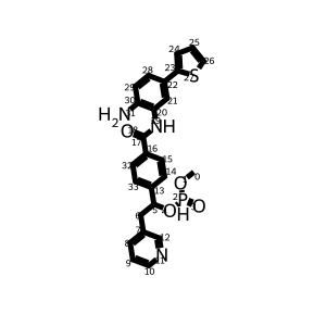 CO[PH](=O)OC(Cc1cccnc1)c1ccc(C(=O)Nc2cc(-c3cccs3)ccc2N)cc1